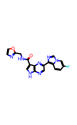 O=C(NCc1ncco1)c1c[nH]c2ncc(-c3ncn4cc(F)ccc34)nc12